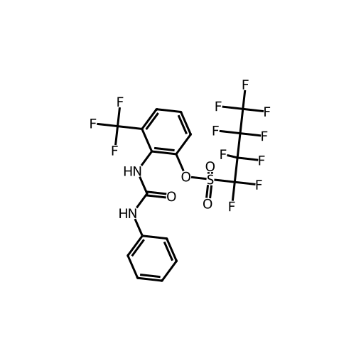 O=C(Nc1ccccc1)Nc1c(OS(=O)(=O)C(F)(F)C(F)(F)C(F)(F)C(F)(F)F)cccc1C(F)(F)F